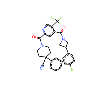 N#CC1(c2ccccc2)CCN(C(=O)c2cc(C(=O)N3CC(c4ccc(F)cc4)C3)c(C(F)(F)F)cn2)CC1